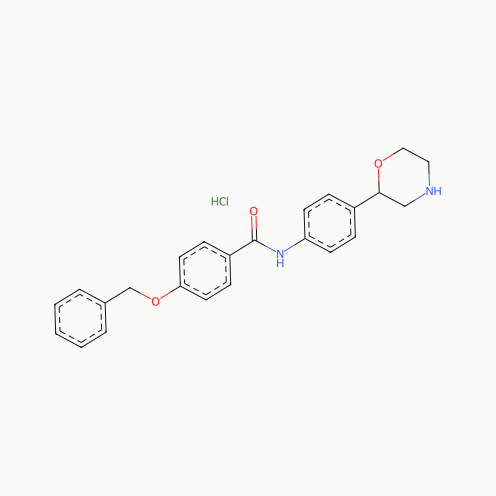 Cl.O=C(Nc1ccc(C2CNCCO2)cc1)c1ccc(OCc2ccccc2)cc1